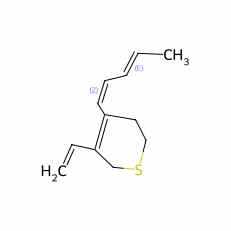 C=CC1=C(/C=C\C=C\C)CCSC1